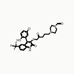 O=CN1CCN(CCCC(=O)CSc2c(-c3cc(Cl)ccc3O)c3cc(C(F)(F)F)ccc3[nH]c2=O)CC1